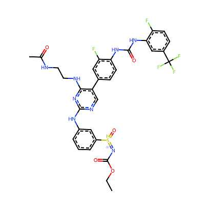 CCOC(=O)/N=[SH](=O)\c1cccc(Nc2ncc(-c3ccc(NC(=O)Nc4cc(C(F)(F)F)ccc4F)c(F)c3)c(NCCNC(C)=O)n2)c1